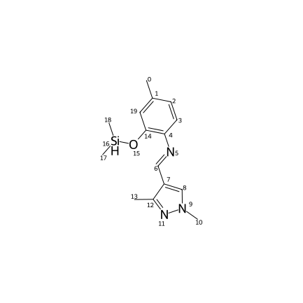 Cc1ccc(N=Cc2cn(C)nc2C)c(O[SiH](C)C)c1